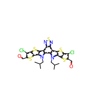 CC(C)Cn1c2c3sc(C=O)c(Cl)c3sc2c2c3nsnc3c3c4sc5c(Cl)c(C=O)sc5c4n(CC(C)C)c3c21